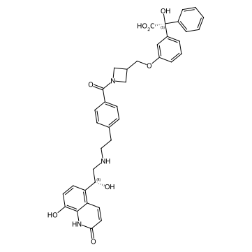 O=C(c1ccc(CCNC[C@H](O)c2ccc(O)c3[nH]c(=O)ccc23)cc1)N1CC(COc2cccc([C@](O)(C(=O)O)c3ccccc3)c2)C1